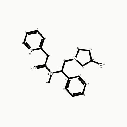 CN(C(=O)Cc1ccccn1)C(CN1CCC(O)C1)c1ccccc1